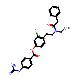 N=C(N)Nc1ccc(C(=O)Oc2ccc(CCN(CC(=O)O)C(=O)Cc3ccccc3)c(Cl)c2)cc1